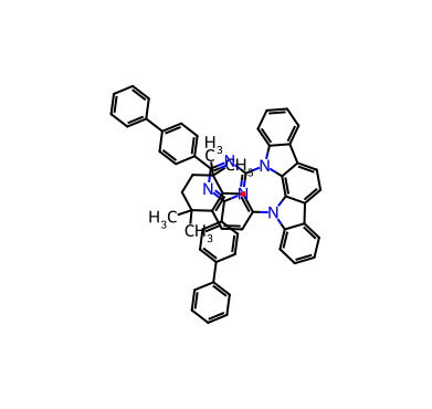 CC1(C)CCC(C)(C)c2cc(-n3c4ccccc4c4ccc5c6ccccc6n(-c6nc(-c7ccc(-c8ccccc8)cc7)nc(-c7ccc(-c8ccccc8)cc7)n6)c5c43)ccc21